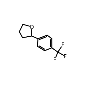 FC(F)(F)c1ccc(C2CCCO2)cc1